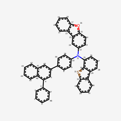 c1ccc(-c2cc(-c3ccc(N(c4ccc5oc6ccccc6c5c4)c4cccc5c4sc4ccccc45)cc3)cc3ccccc23)cc1